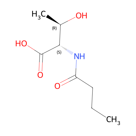 CCCC(=O)N[C@H](C(=O)O)[C@@H](C)O